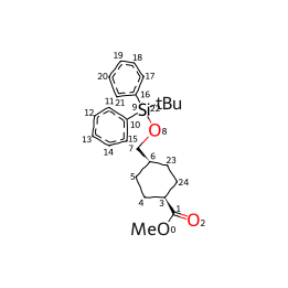 COC(=O)[C@H]1CC[C@@H](CO[Si](c2ccccc2)(c2ccccc2)C(C)(C)C)CC1